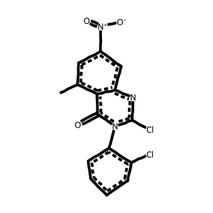 Cc1cc([N+](=O)[O-])cc2nc(Cl)n(-c3ccccc3Cl)c(=O)c12